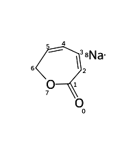 O=C1C=CC=CCO1.[Na]